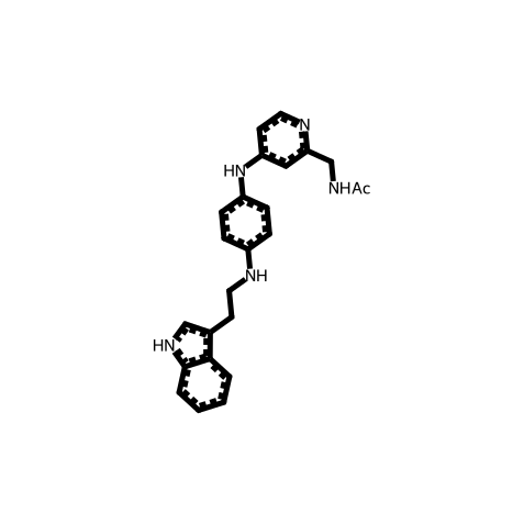 CC(=O)NCc1cc(Nc2ccc(NCCc3c[nH]c4ccccc34)cc2)ccn1